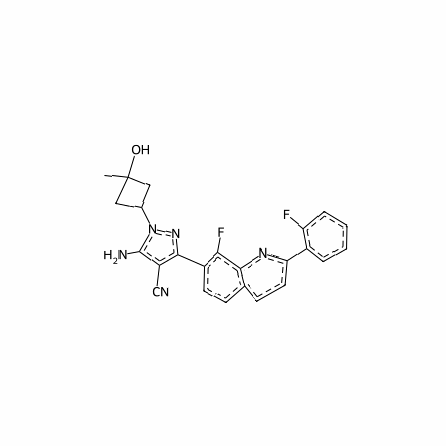 CC1(O)CC(n2nc(-c3ccc4ccc(-c5ccccc5F)nc4c3F)c(C#N)c2N)C1